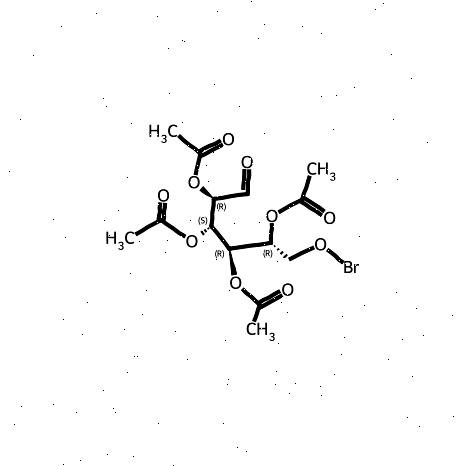 CC(=O)O[C@@H]([C@H](OC(C)=O)[C@@H](COBr)OC(C)=O)[C@H](C=O)OC(C)=O